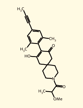 CC#Cc1cc(C)c(C2=C(O)CC3(CCN(C(=O)C(C)OC)CC3)CC2=O)c(C)c1